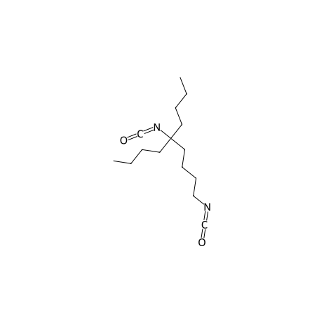 CCCCC(CCCC)(CCCCN=C=O)N=C=O